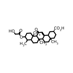 CC1C(OC(=O)CO)CCC2(C)C1CCC1(C)C3CCC4(C)CC[C@H](C(=O)O)CC4C3=CC(=O)C12